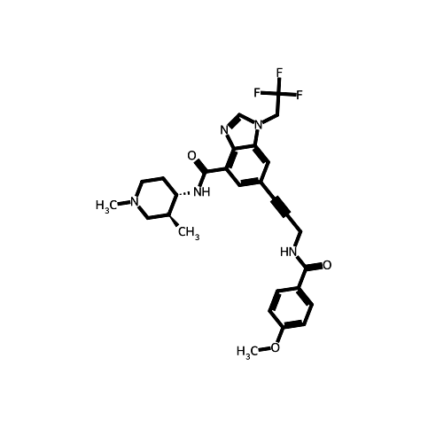 COc1ccc(C(=O)NCC#Cc2cc(C(=O)N[C@H]3CCN(C)C[C@@H]3C)c3ncn(CC(F)(F)F)c3c2)cc1